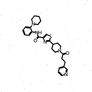 O=C(Nc1ccccc1N1CCCCC1)c1csc(C2CCN(C(=O)CCc3cccnc3)CC2)n1